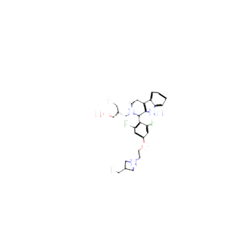 C[C@@H]1Cc2c([nH]c3ccccc23)[C@@H](c2c(F)cc(OCCN3CC(CF)C3)cc2F)N1C[C@@H](CO)CF